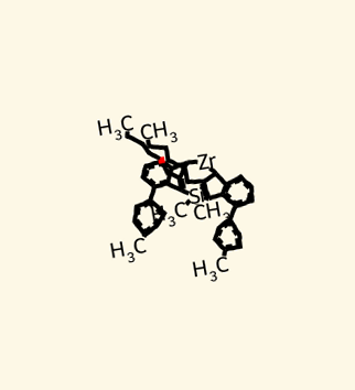 CCCCCCC1=C2c3c(-c4ccc(C)cc4)cccc3[CH]1[Zr][CH]1C(CCCCCC)=C(c3c(-c4ccc(C)cc4)cccc31)[Si]2(C)C